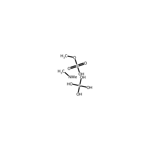 CNC.COS(=O)(=O)O.O[Si](O)(O)O